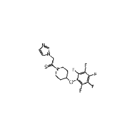 Fc1c(F)c(F)c(OC2CCN(C(=S)Cn3ccnc3)CC2)c(F)c1F